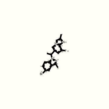 Cc1cn2cc(C(C)n3nc(C)c4cc(Br)ccc43)cc(F)c2n1